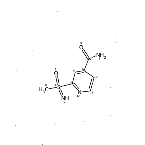 CS(=N)(=O)c1cc(C(N)=O)ccn1